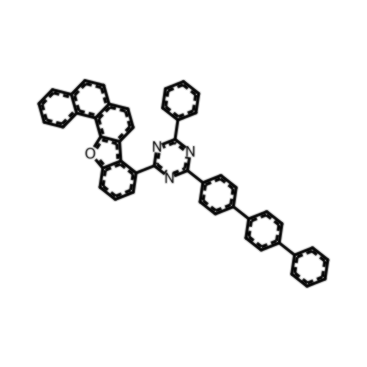 c1ccc(-c2ccc(-c3ccc(-c4nc(-c5ccccc5)nc(-c5cccc6oc7c(ccc8ccc9ccccc9c87)c56)n4)cc3)cc2)cc1